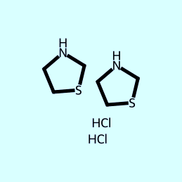 C1CSCN1.C1CSCN1.Cl.Cl